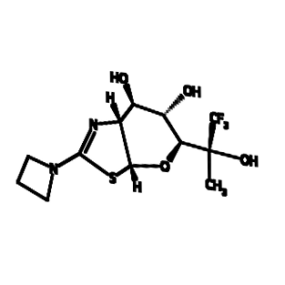 C[C@@](O)([C@H]1O[C@@H]2SC(N3CCC3)=N[C@@H]2[C@@H](O)[C@@H]1O)C(F)(F)F